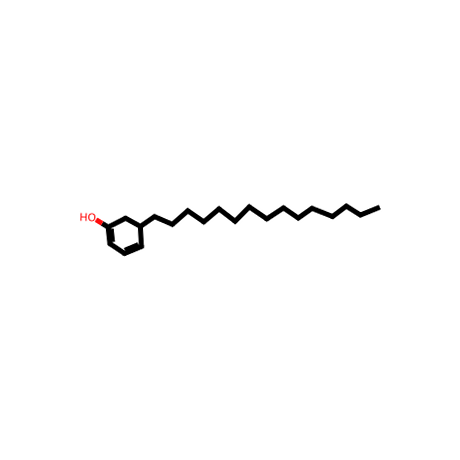 CCCCCCCCCCCCCCCC1C=CC=C(O)C1